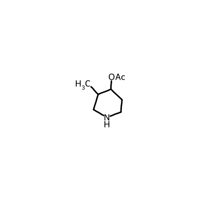 CC(=O)OC1CCNCC1C